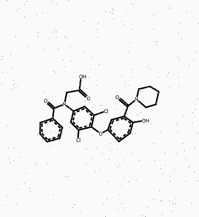 O=C(O)CN(C(=O)c1ccccc1)c1cc(Cl)c(Oc2ccc(O)c(C(=O)N3CCCCC3)c2)c(Cl)c1